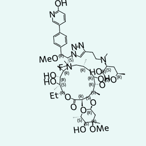 CC[C@H]1OC(=O)[C@H](C)[C@@H](O[C@H]2C[C@@](C)(OC)[C@@H](O)[C@H](C)O2)[C@H](C)[C@@H](O[C@@H]2O[C@H](C)C[C@H](N(C)CCc3cn([C@H](CF)[C@H](OC)c4ccc(-c5ccc(O)nc5)cc4)nn3)[C@H]2O)[C@](C)(O)C[C@@H](C)CN(C)[C@H](C)[C@@H](O)[C@]1(C)O